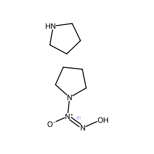 C1CCNC1.[O-]/[N+](=N/O)N1CCCC1